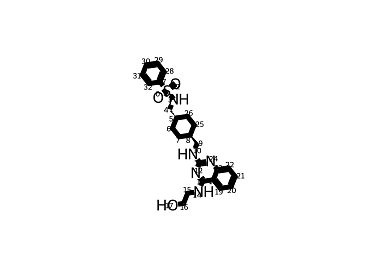 O=S(=O)(NC[C@H]1CC[C@H](CNc2nc(NCCO)c3ccccc3n2)CC1)c1ccccc1